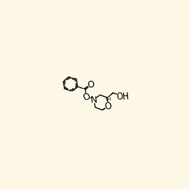 O=C(ON1CCO[C@H](CO)C1)c1ccccc1